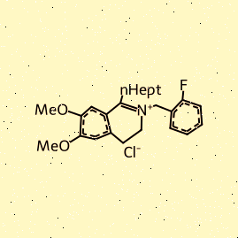 CCCCCCCC1=[N+](Cc2ccccc2F)CCc2cc(OC)c(OC)cc21.[Cl-]